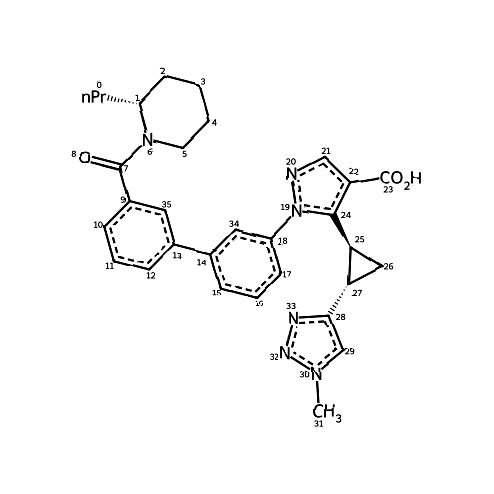 CCC[C@@H]1CCCCN1C(=O)c1cccc(-c2cccc(-n3ncc(C(=O)O)c3[C@H]3C[C@@H]3c3cn(C)nn3)c2)c1